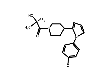 C[C@@](O)(C(=O)N1CCC(c2ccnn2-c2ccc(Cl)cc2)CC1)C(F)(F)F